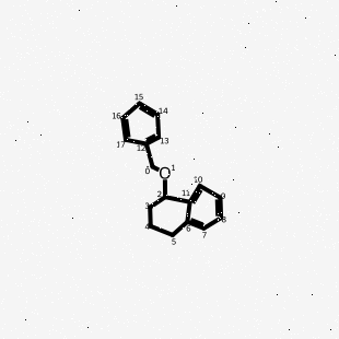 [CH](OC1CCCc2ccccc21)c1ccccc1